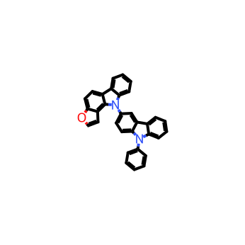 c1ccc(-n2c3ccccc3c3cc(-n4c5ccccc5c5ccc6occc6c54)ccc32)cc1